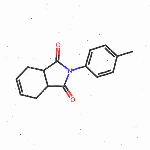 Cc1ccc(N2C(=O)C3CC=CCC3C2=O)cc1